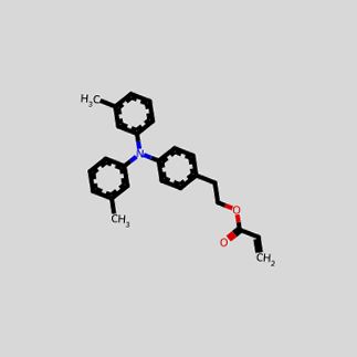 C=CC(=O)OCCc1ccc(N(c2cccc(C)c2)c2cccc(C)c2)cc1